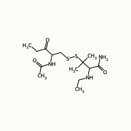 CCNC(C(N)=O)C(C)(C)SSCC(NC(C)=O)C(=O)CC